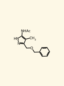 CC(=O)Nc1[nH]nc(COCc2ccccc2)c1C